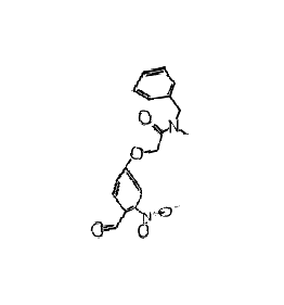 CN(Cc1ccccc1)C(=O)COc1ccc(C=O)c([N+](=O)[O-])c1